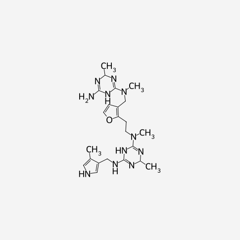 Cc1c[nH]cc1CNC1=NC(C)N=C(N(C)CCc2occc2CN(C)C2=NC(C)N=C(N)N2)N1